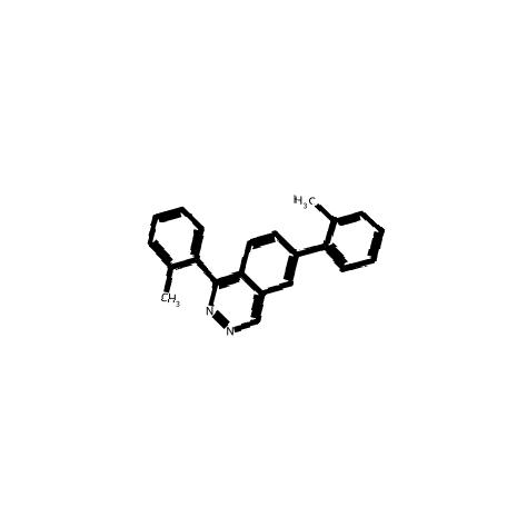 Cc1ccccc1-c1ccc2c(-c3ccccc3C)nncc2c1